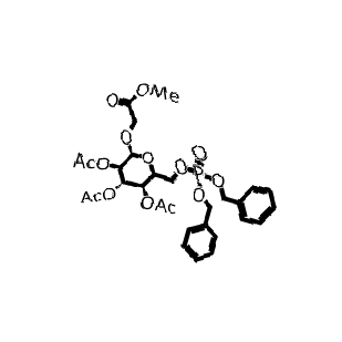 COC(=O)CO[C@H]1OC(COP(=O)(OCc2ccccc2)OCc2ccccc2)[C@@H](OC(C)=O)[C@H](OC(C)=O)C1OC(C)=O